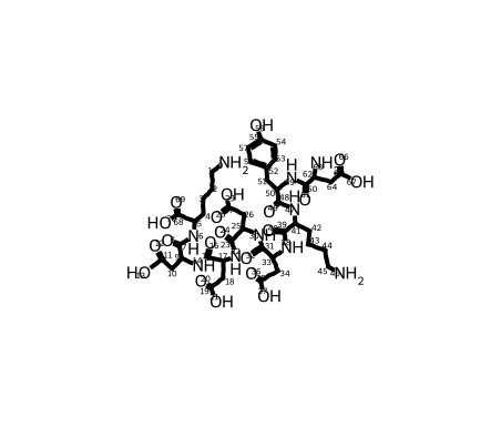 NCCCCC(NC(=O)C(CC(=O)O)NC(=O)C(CC(=O)O)NC(=O)C(CC(=O)O)NC(=O)C(CC(=O)O)NC(=O)C(CCCCN)NC(=O)C(Cc1ccc(O)cc1)NC(=O)C(N)CC(=O)O)C(=O)O